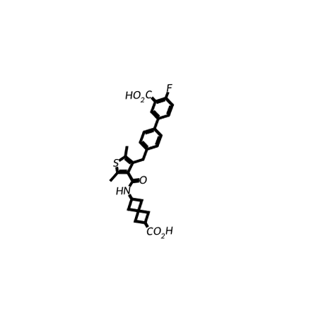 Cc1sc(C)c(C(=O)NC2CC3(C2)CC(C(=O)O)C3)c1Cc1ccc(-c2ccc(F)c(C(=O)O)c2)cc1